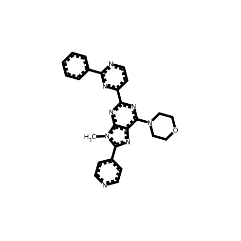 Cn1c(-c2ccncc2)nc2c(N3CCOCC3)nc(-c3ccnc(-c4ccccc4)n3)nc21